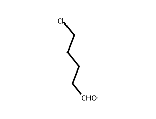 O=[C]CCCCCl